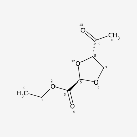 CCOC(=O)[C@@H]1OC[C@@H](C(C)=O)O1